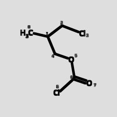 CC(CCl)COC(=O)Cl